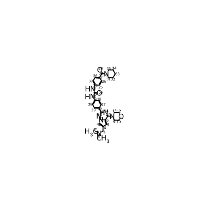 CN(C)Cc1cc2c(N3CCOCC3)nc(-c3ccc(NC(=O)Nc4ccc(C(=O)N5CCCCC5)cc4)cc3)nn2c1